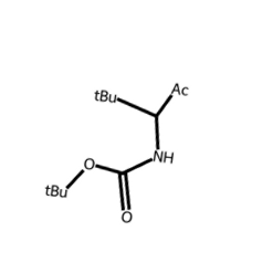 CC(=O)C(NC(=O)OC(C)(C)C)C(C)(C)C